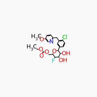 CCOC(=O)OCC1OC(c2ccc(Cl)c(Cc3ccc(OC)cn3)c2)C(O)C(O)C1F